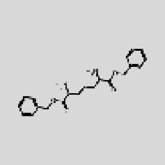 NC(CCCC(N)C(=O)OCc1ccccc1)C(=O)OCc1ccccc1